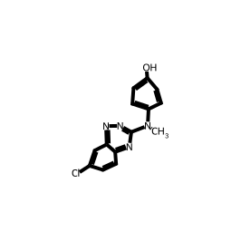 CN(c1ccc(O)cc1)c1nnc2cc(Cl)ccc2n1